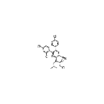 CC(C)CN(C(=O)CCl)c1nc(-c2ccc(Cl)cc2Cl)c(-c2ccc(Cl)cc2)cc1C#N